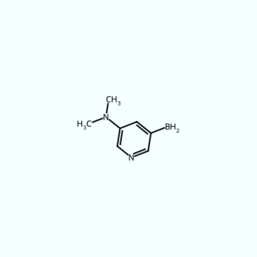 Bc1cncc(N(C)C)c1